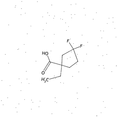 CCC1(C(=O)O)CCC(F)(F)C1